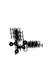 Cc1ccc(-c2nc(-c3cc(Cl)cc(-c4ccccc4)c3)nc(-c3cc(Cl)cc(-c4ccccc4)c3)[o+]2)cc1.[O]=[Sb]([OH])([OH])[Cl].[O]=[Sb]([OH])([OH])[Cl].[O]=[Sb]([OH])([OH])[Cl].[O]=[Sb]([OH])([OH])[Cl].[O]=[Sb]([OH])([OH])[Cl].[O]=[Sb]([OH])([OH])[Cl]